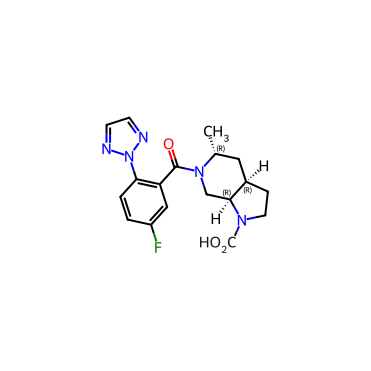 C[C@@H]1C[C@H]2CCN(C(=O)O)[C@H]2CN1C(=O)c1cc(F)ccc1-n1nccn1